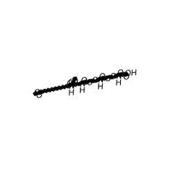 CC(C)(C)OC(=O)CCCCCCCCCCCCCCCCC(=O)NC(CCCCNC(=O)CCOCCOCCNC(=O)CCOCCOCCNC(=O)CCC(=O)O)C(=O)OC(C)(C)C